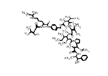 CCC(C)C(C(CC(=O)N1CCCC1C(OC)C(C)C(=O)NC(C)C(O)c1ccccc1)OC)N(C)C(=O)C(NC(=O)C(C(C)C)N(C)C(=O)OCc1ccc(NC(=O)C(CCCNC(N)O)NC(=O)C(N)C(C)C)cc1)C(C)C